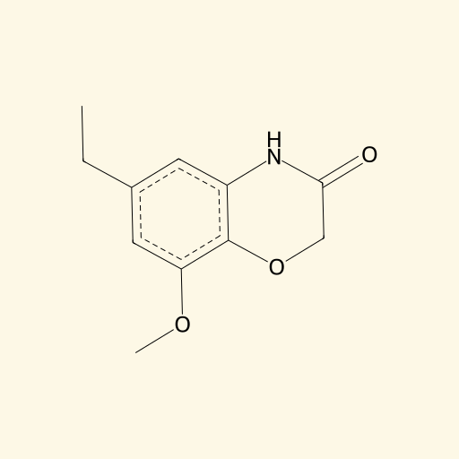 CCc1cc2c(c(OC)c1)OCC(=O)N2